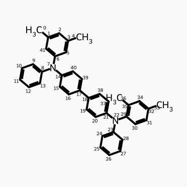 Cc1cc(C)cc(N(c2ccccc2)c2ccc(-c3ccc(N(c4ccccc4)c4ccc(C)cc4C)cc3)cc2)c1